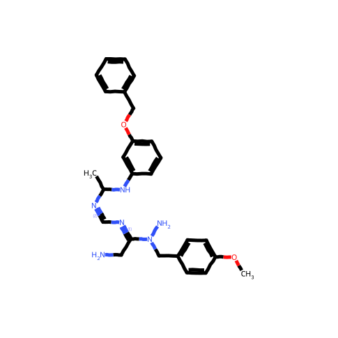 COc1ccc(CN(N)/C(CN)=N/C=N\C(C)Nc2cccc(OCc3ccccc3)c2)cc1